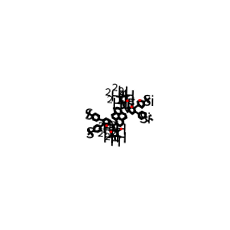 [2H]c1c([2H])c([2H])c(N(c2ccc(-c3ccc([Si](C)(C)C)cc3)c(-c3ccc([Si](C)(C)C)cc3)c2F)c2ccc3ccc4c(N(c5ccc(-c6ccc(S(C)(C)C)cc6)c(-c6ccc(S(C)(C)C)cc6)c5F)c5c([2H])c([2H])c([2H])c([2H])c5[2H])ccc5ccc2c3c54)c([2H])c1[2H]